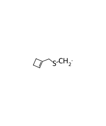 [CH2]SCC1=CCC1